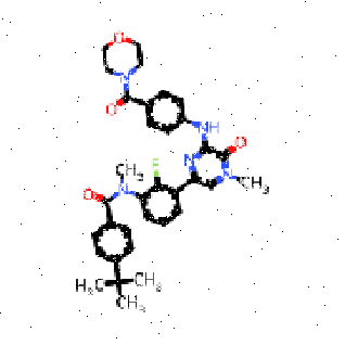 CN(C(=O)c1ccc(C(C)(C)C)cc1)c1cccc(-c2cn(C)c(=O)c(Nc3ccc(C(=O)N4CCOCC4)cc3)n2)c1F